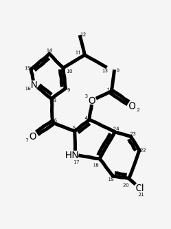 CC(=O)Oc1c(C(=O)c2cc(C(C)C)ccn2)[nH]c2cc(Cl)ccc12